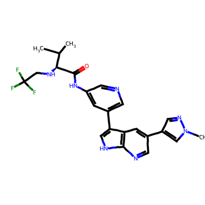 CC(C)[C@H](NCC(F)(F)F)C(=O)Nc1cncc(-c2c[nH]c3ncc(-c4cnn(C)c4)cc23)c1